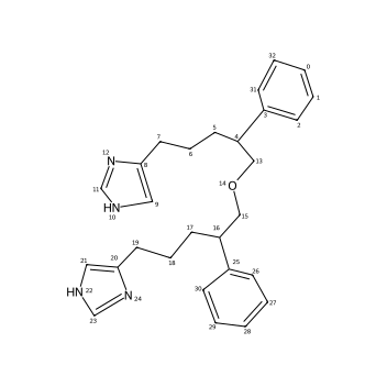 c1ccc(C(CCCc2c[nH]cn2)COCC(CCCc2c[nH]cn2)c2ccccc2)cc1